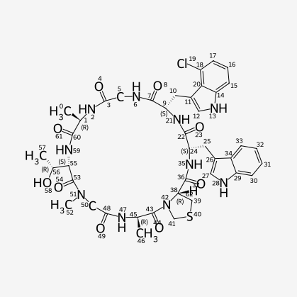 C[C@H]1NC(=O)CNC(=O)[C@H](Cc2c[nH]c3cccc(Cl)c23)NC(=O)[C@H](Cc2c[nH]c3ccccc23)NC(=O)[C@@H]2CSCN2C(=O)[C@@H](C)NC(=O)CN(C)C(=O)[C@H]([C@@H](C)O)NC1=O